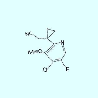 COc1c(C2(CC#N)CC2)ncc(F)c1Cl